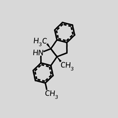 Cc1ccc2c(c1)[C@@]1(C)Cc3ccccc3[C@@]1(C)N2